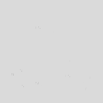 C=C(C)C(=O)Nc1ccc(-c2cn3ncnc(N)c3c2-c2ccc(C(=O)NCC(F)(F)F)cc2)cc1